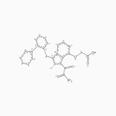 Cc1c(C(=O)C(N)=O)c2c(OCC(=O)O)nccc2n1Cc1ccccc1-c1ccccc1